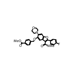 CNC(=O)c1c(-c2ccc(F)cc2)oc2cc(N3CCOCC3)c(OCc3ccc(C(=O)OC)cc3)cc12